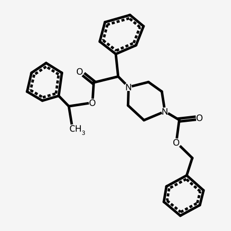 CC(OC(=O)C(c1ccccc1)N1CCN(C(=O)OCc2ccccc2)CC1)c1ccccc1